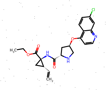 C=C[C@@H]1C[C@]1(NC(=O)[C@@H]1C[C@@H](Oc2ccnc3cc(Cl)ccc23)CN1)C(=O)OCC